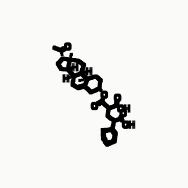 CC(=O)[C@H]1CC[C@H]2[C@@H]3CC=C4C[C@@H](OC(=O)C(CC(C(=O)O)c5ccccc5)C(=O)O)CC[C@]4(C)[C@H]3CC[C@]12C